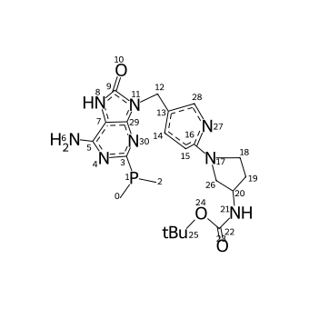 CP(C)c1nc(N)c2[nH]c(=O)n(Cc3ccc(N4CCC(NC(=O)OC(C)(C)C)C4)nc3)c2n1